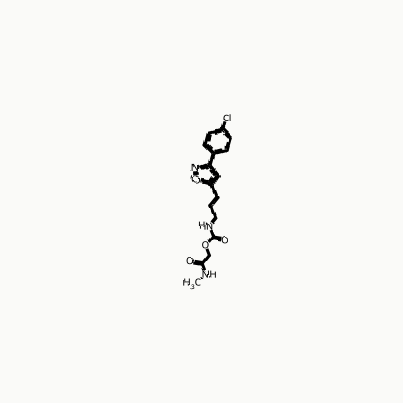 CNC(=O)COC(=O)NCCCc1cc(-c2ccc(Cl)cc2)no1